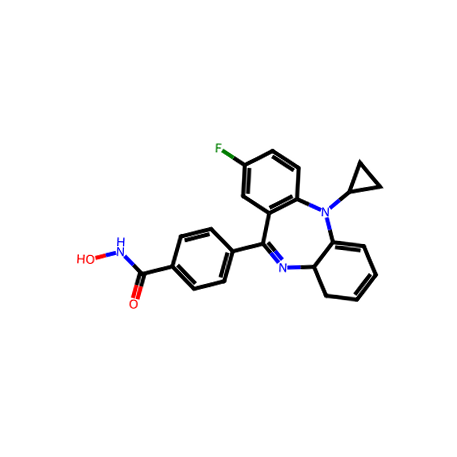 O=C(NO)c1ccc(C2=NC3CC=CC=C3N(C3CC3)c3ccc(F)cc32)cc1